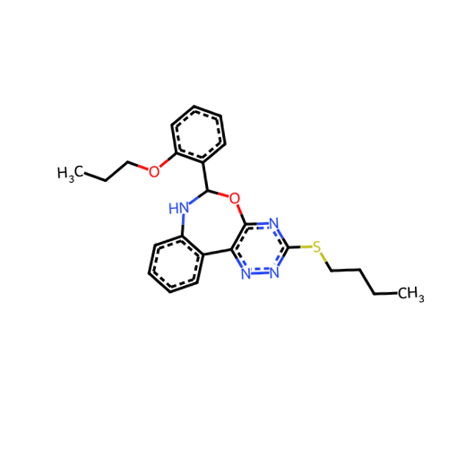 CCCCSc1nnc2c(n1)OC(c1ccccc1OCCC)Nc1ccccc1-2